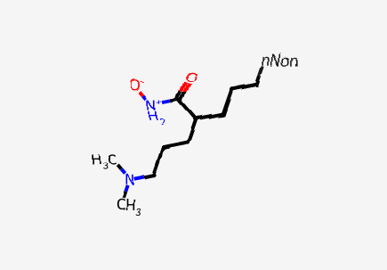 CCCCCCCCCCCCC(CCCN(C)C)C(=O)[NH2+][O-]